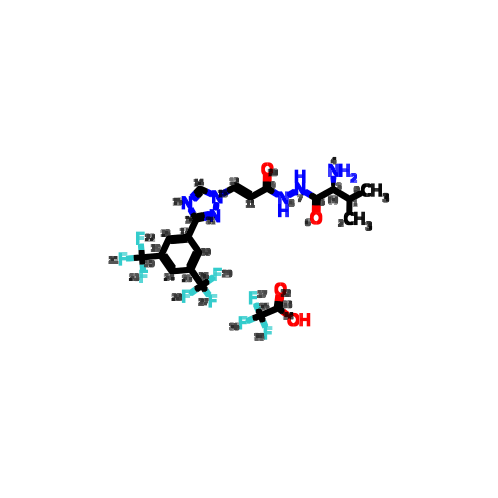 CC(C)[C@H](N)C(=O)NNC(=O)C=Cn1cnc(-c2cc(C(F)(F)F)cc(C(F)(F)F)c2)n1.O=C(O)C(F)(F)F